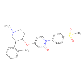 CS(=O)(=O)c1ccc(-n2ccc(OC3CCN(C(=O)O)CC3c3ccccc3C(F)(F)F)cc2=O)cc1